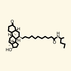 CCCC(C)NC(=O)CCCCCCCCCC[C@@H]1C[C@H]2CC(=O)CC[C@]2(C)[C@H]2CC[C@]3(C)[C@@H](O)CC[C@H]3[C@H]12